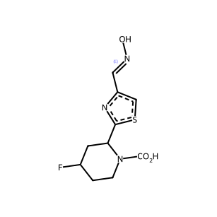 O=C(O)N1CCC(F)CC1c1nc(/C=N/O)cs1